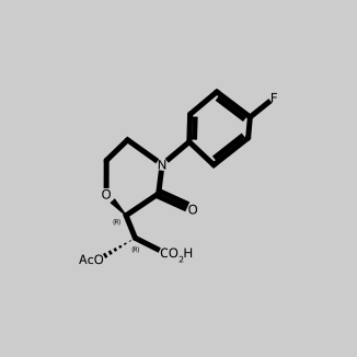 CC(=O)O[C@@H](C(=O)O)[C@H]1OCCN(c2ccc(F)cc2)C1=O